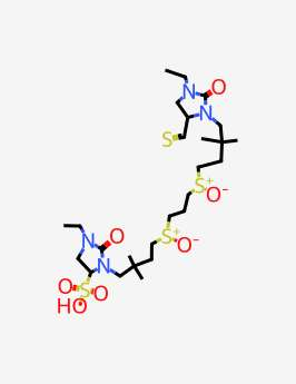 CCN1CC(C=S)N(CC(C)(C)CC[S+]([O-])CCC[S+]([O-])CCC(C)(C)CN2C(=O)N(CC)CC2S(=O)(=O)O)C1=O